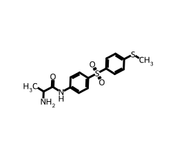 CSc1ccc(S(=O)(=O)c2ccc(NC(=O)C(C)N)cc2)cc1